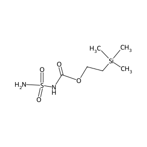 C[Si](C)(C)CCOC(=O)NS(N)(=O)=O